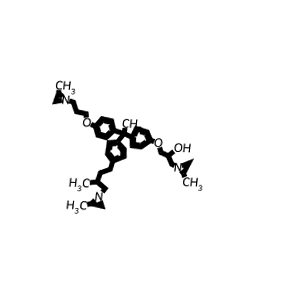 CC(CCc1ccc(C(C)(c2ccc(OCCCN3CC3C)cc2)c2ccc(OCC(O)CN3CC3C)cc2)cc1)CN1CC1C